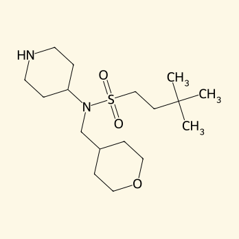 CC(C)(C)CCS(=O)(=O)N(CC1CCOCC1)C1CCNCC1